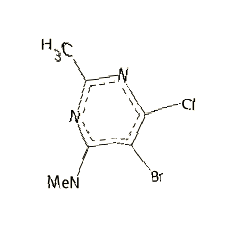 CNc1nc(C)nc(Cl)c1Br